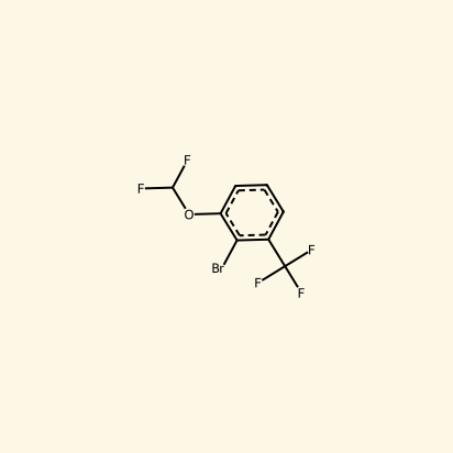 FC(F)Oc1cccc(C(F)(F)F)c1Br